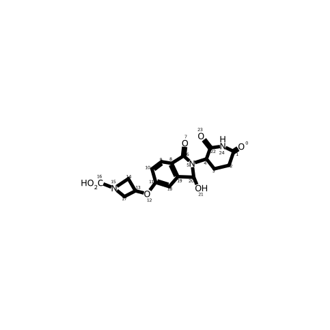 O=C1CCC(N2C(=O)c3ccc(OC4CN(C(=O)O)C4)cc3C2O)C(=O)N1